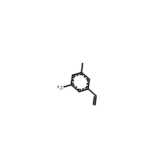 C=Cc1[c]c(C(F)(F)F)cc(C)c1